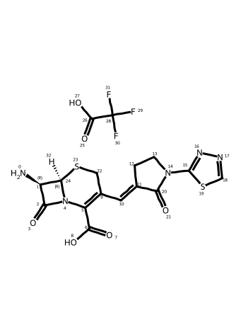 N[C@@H]1C(=O)N2C(C(=O)O)=C(C=C3CCN(c4nncs4)C3=O)CS[C@H]12.O=C(O)C(F)(F)F